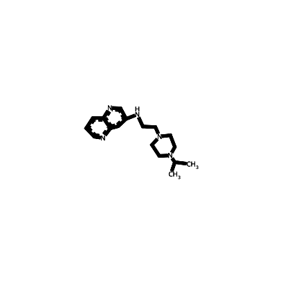 CC(C)N1CCN(CCNc2cnc3cccnc3c2)CC1